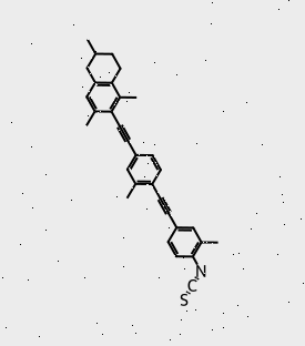 Cc1cc(C#Cc2c(C)cc3c(c2C)CCC(C)C3)ccc1C#Cc1ccc(N=C=S)c(C)c1